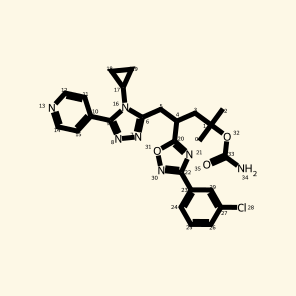 CC(C)(CC(Cc1nnc(-c2ccncc2)n1C1CC1)c1nc(-c2cccc(Cl)c2)no1)OC(N)=O